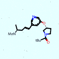 CN[C@@H](C)C/C=C/c1cncc(O[C@@H]2CCN(C(=O)C(C)(C)C)C2)c1